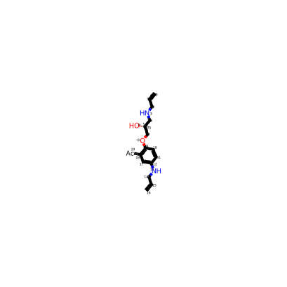 C=CCNC[C@@H](O)COc1ccc(NCC=C)cc1C(C)=O